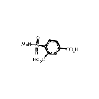 CNS(=O)(=O)c1ccc(C(=O)O)cc1C(=O)O